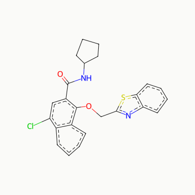 O=C(NC1CCCC1)c1cc(Cl)c2ccccc2c1OCc1nc2ccccc2s1